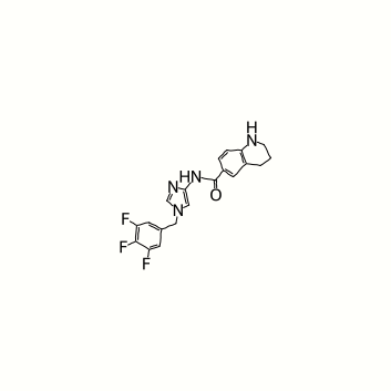 O=C(Nc1cn(Cc2cc(F)c(F)c(F)c2)cn1)c1ccc2c(c1)CCCN2